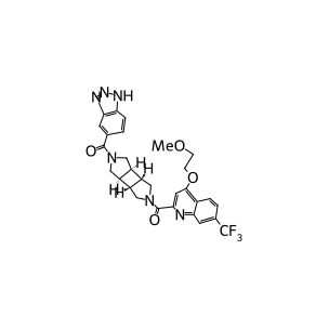 COCCOc1cc(C(=O)N2C[C@@H]3[C@H]4CN(C(=O)c5ccc6[nH]nnc6c5)C[C@H]4[C@@H]3C2)nc2cc(C(F)(F)F)ccc12